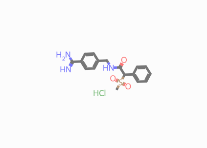 CS(=O)(=O)C(C(=O)NCc1ccc(C(=N)N)cc1)c1ccccc1.Cl